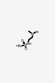 CCCCS(=O)(=O)NCCN(C)C(C)C